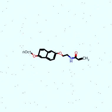 C=CC(=O)NCCOc1ccc2cc(OCCCCCCCC)ccc2c1